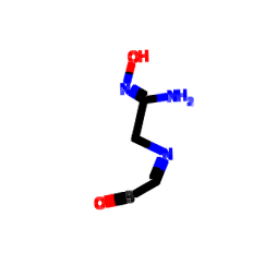 N/C(C/N=C\B=O)=N\O